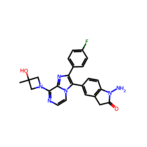 CC1(O)CN(c2nccn3c(-c4ccc5c(c4)CC(=O)N5N)c(-c4ccc(F)cc4)nc23)C1